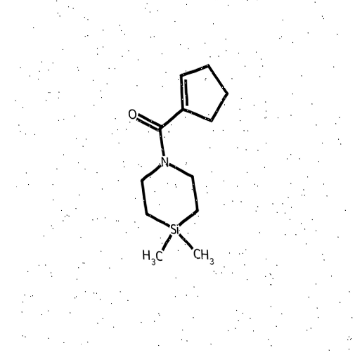 C[Si]1(C)CCN(C(=O)C2=CCCC2)CC1